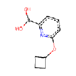 OB(O)c1cccc(OC2CCC2)n1